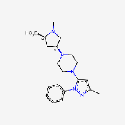 Cc1cc(N2CCN([C@H]3C[C@@H](C(=O)O)N(C)C3)CC2)n(-c2ccccc2)n1